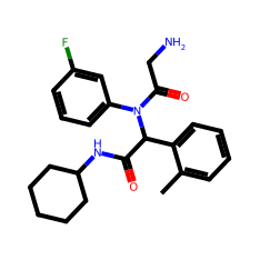 Cc1ccccc1C(C(=O)NC1CCCCC1)N(C(=O)CN)c1cccc(F)c1